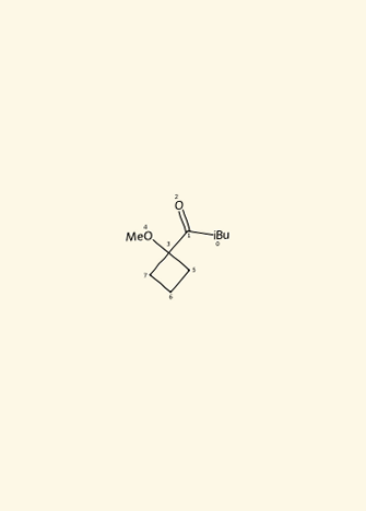 CCC(C)C(=O)C1(OC)CCC1